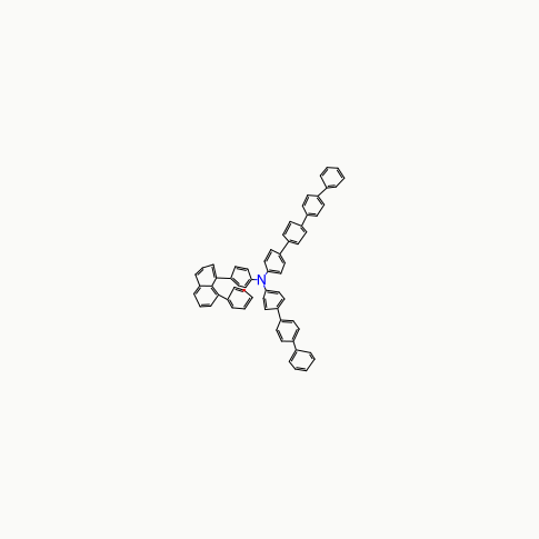 c1ccc(-c2ccc(-c3ccc(-c4ccc(N(c5ccc(-c6ccc(-c7ccccc7)cc6)cc5)c5ccc(-c6cccc7cccc(-c8ccccc8)c67)cc5)cc4)cc3)cc2)cc1